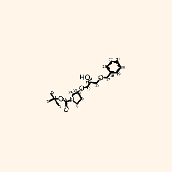 CC(C)(C)OC(=O)N1CC[C@H](OC[C@H](O)COCc2ccccc2)C1